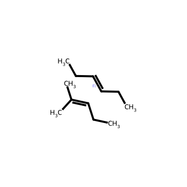 CC/C=C/CC.CCC=C(C)C